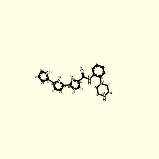 O=C(Nc1ccccc1N1CCNCC1)c1csc(-c2ccc(-c3cccs3)s2)n1